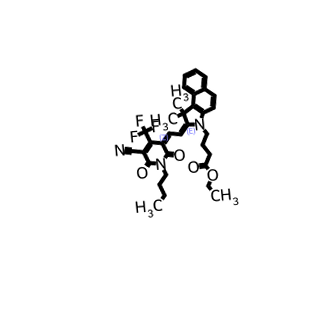 CCCCN1C(=O)C(C#N)=C(C(F)(F)F)/C(=C/C=C2/N(CCCC(=O)OCC)c3ccc4ccccc4c3C2(C)C)C1=O